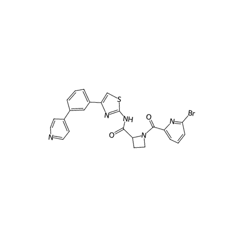 O=C(Nc1nc(-c2cccc(-c3ccncc3)c2)cs1)C1CCN1C(=O)c1cccc(Br)n1